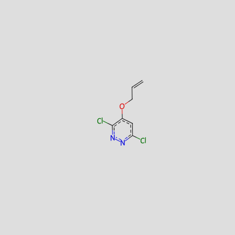 C=CCOc1cc(Cl)nnc1Cl